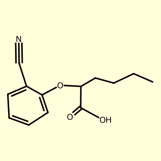 CCCCC(Oc1ccccc1C#N)C(=O)O